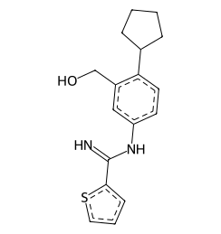 N=C(Nc1ccc(C2CCCC2)c(CO)c1)c1cccs1